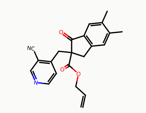 C=CCOC(=O)C1(Cc2ccncc2C#N)Cc2cc(C)c(C)cc2C1=O